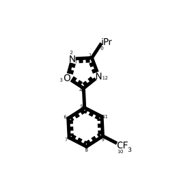 CC(C)c1noc(-c2cccc(C(F)(F)F)c2)n1